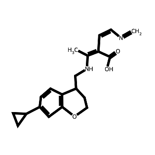 C=N/C=C\C(C(=O)O)=C(/C)NCC1CCOc2cc(C3CC3)ccc21